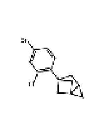 Clc1cc(Br)ccc1C12CC3CC3(C1)C2